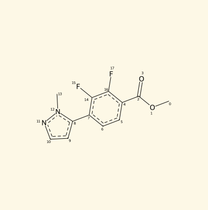 COC(=O)c1ccc(-c2ccnn2C)c(F)c1F